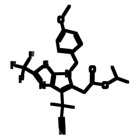 COc1ccc(Cn2c(CC(=O)OC(C)C)c(C(C)(C)C#N)c3nc(C(F)(F)F)sc32)cc1